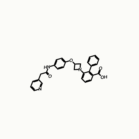 O=C(Cc1cccnc1)Nc1ccc(OC2CN(c3cccc(C(=O)O)c3-c3ccccc3)C2)cc1